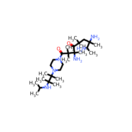 CC(C)NC(C)(C)C(C)(C)N1CCN(C(=O)C(C)(C)C(C)(N)C(=O)C(C)(C)CC(C)(N)C(C)N)CC1